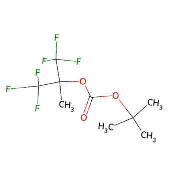 CC(C)(C)OC(=O)OC(C)(C(F)(F)F)C(F)(F)F